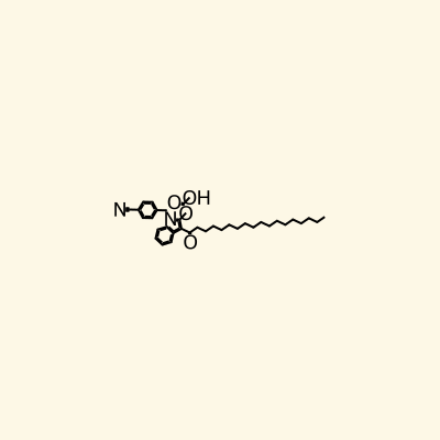 CCCCCCCCCCCCCCCCCC(=O)c1c(OC(=O)O)n(Cc2ccc(C#N)cc2)c2ccccc12